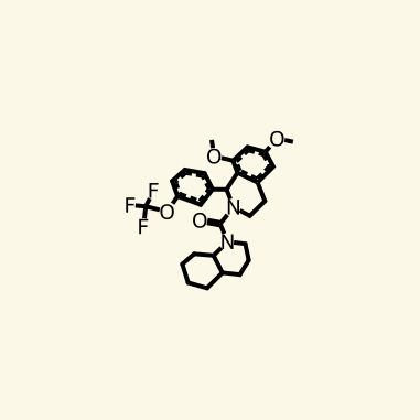 COc1cc2c(c(OC)c1)C(c1cccc(OC(F)(F)F)c1)N(C(=O)N1CCCC3CCCCC31)CC2